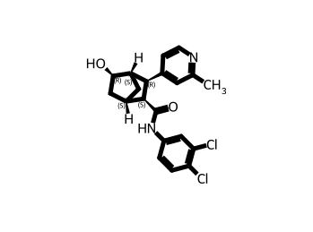 Cc1cc([C@@H]2[C@@H]3C[C@@H](C[C@H]3O)[C@@H]2C(=O)Nc2ccc(Cl)c(Cl)c2)ccn1